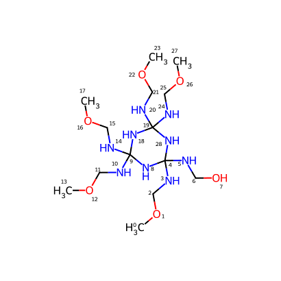 COCNC1(NCO)NC(NCOC)(NCOC)NC(NCOC)(NCOC)N1